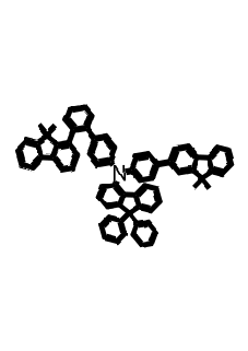 CC1(C)c2ccccc2-c2ccc(-c3ccc(N(c4ccc(-c5ccccc5-c5cccc6c5C(C)(C)c5ccccc5-6)cc4)c4cccc5c4-c4ccccc4C5(c4ccccc4)c4ccccc4)cc3)cc21